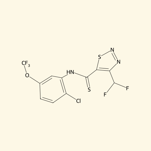 FC(F)c1nnsc1C(=S)Nc1cc(OC(F)(F)F)ccc1Cl